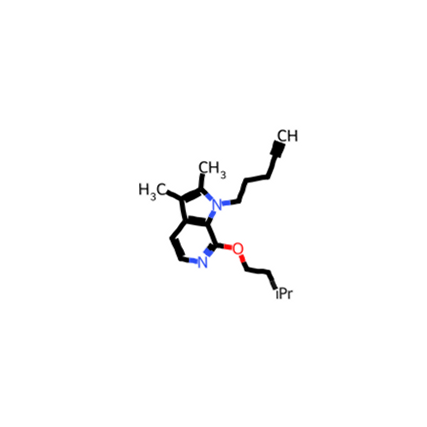 C#CCCCn1c(C)c(C)c2ccnc(OCCC(C)C)c21